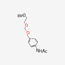 COCCOCOCc1ccc(NC(C)=O)cc1